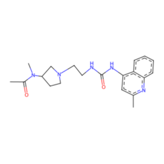 CC(=O)N(C)C1CCN(CCNC(=O)Nc2cc(C)nc3ccccc23)C1